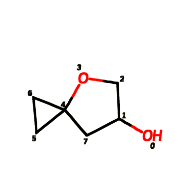 OC1COC2(CC2)C1